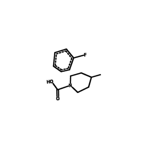 CC1CCN(C(=O)O)CC1.Fc1ccccc1